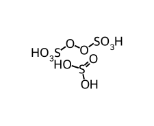 O=S(=O)(O)OOS(=O)(=O)O.O=S(O)O